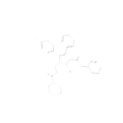 CC(C)c1c(C(=O)Nc2ccccc2)c(-c2ccccc2)c(-c2ccc(F)cc2)n1CCC(=O)N1CCOCC1